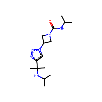 CC(C)NC(=O)N1CC(n2cc(C(C)(C)NC(C)C)nn2)C1